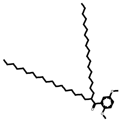 CCCCCCCCCCCCCCCCCCC(CCCCCCCCCCCCCCCCCC)C(=O)c1cc(OC)ccc1OC